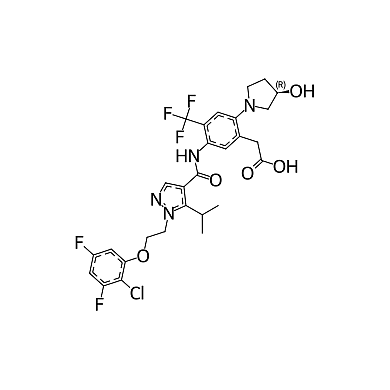 CC(C)c1c(C(=O)Nc2cc(CC(=O)O)c(N3CC[C@@H](O)C3)cc2C(F)(F)F)cnn1CCOc1cc(F)cc(F)c1Cl